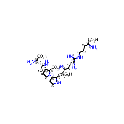 CC(C)C[C@H](N)C(=O)O.CC(C)[C@H](N)C(=O)O.N=C(N)NCCC[C@H](N)C(=O)O.NCC(=O)O.O=C(O)[C@@H]1CCCN1.O=C(O)[C@@H]1CCCN1